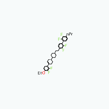 CCCc1ccc(-c2ccc(CCC3CCC(C4CC=C(c5ccc(OCC)c(F)c5F)CC4)CC3)c(F)c2F)c(F)c1F